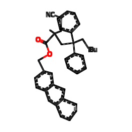 CCC(C)CC(CC(C)(CCC#N)C(=O)OCc1ccc2cc3ccccc3cc2c1)(c1ccccc1)c1ccccc1